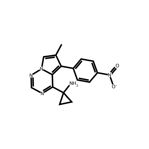 Cc1cn2ncnc(C3(N)CC3)c2c1-c1ccc([N+](=O)[O-])cc1